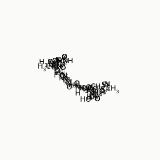 Cc1ncsc1-c1ccc(CNC(=O)[C@@H]2C[C@@H](O)CN2C(=O)C(NC(=O)COCCNC(=O)CCC(=O)N2CCN(c3ncc(-c4cc(NC(=O)c5c[nH]c(=O)cc5C(F)(F)F)c(N5C[C@@H](C)N(C)[C@@H](C)C5)cc4F)cn3)CC2)C(C)(C)C)cc1